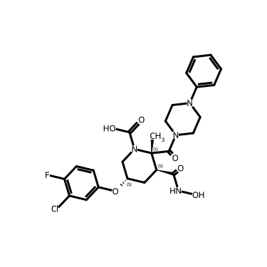 C[C@@]1(C(=O)N2CCN(c3ccccc3)CC2)[C@@H](C(=O)NO)C[C@H](Oc2ccc(F)c(Cl)c2)CN1C(=O)O